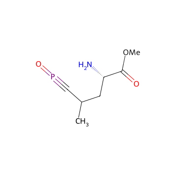 COC(=O)[C@@H](N)CC(C)C#P=O